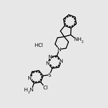 Cl.Nc1nccc(Sc2cnc(N3CCC4(CC3)Cc3ccccc3C4N)nn2)c1Cl